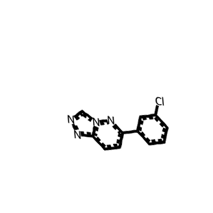 Clc1cccc(-c2ccc3nncn3n2)c1